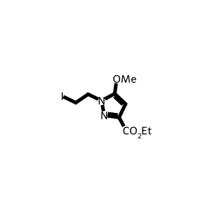 CCOC(=O)c1cc(OC)n(CCI)n1